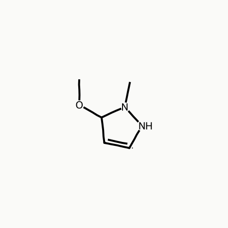 COC1C=[C]NN1C